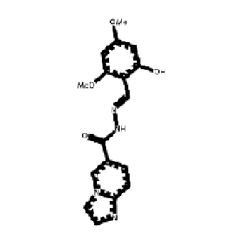 COc1cc(O)c(C=NNC(=O)c2ccc3nccn3c2)c(OC)c1